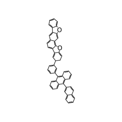 C1=c2oc3c(ccc4cc5c(cc43)oc3ccccc35)c2=CC(c2cccc(-c3c4ccccc4c(-c4ccc5ccccc5c4)c4ccccc34)c2)C1